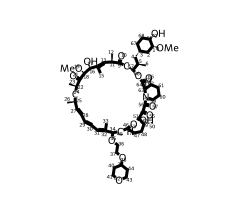 CO[C@@H]1C[C@H](C[C@@H](C)[C@@H]2CC(=O)[C@H](C)/C=C(\C)[C@@H](O)[C@@H](OC)C(=O)[C@H](C)C[C@H](C)/C=C/C=C/C=C(\C)C(OCCOC3CCOCC3)C[C@@H]3CC[C@@H](C)[C@@](O)(O3)C(=O)C(=O)N3CCCC[C@H]3C(=O)O2)CC[C@H]1O